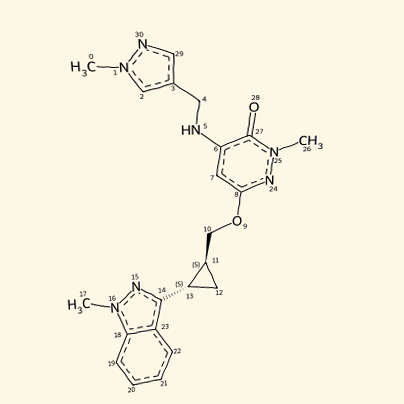 Cn1cc(CNc2cc(OC[C@H]3C[C@@H]3c3nn(C)c4ccccc34)nn(C)c2=O)cn1